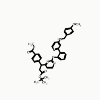 COC(=O)c1ccc(C(CC(=O)OC(C)(C)C)c2ccnc(Oc3ccccc3-c3cc(NCc4ccc(OC)cc4)ccn3)n2)cc1